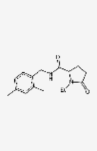 CCN1C(=O)CCC1C(=O)NCc1ccc(C)cc1C